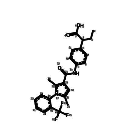 CCC(C(=O)O)c1ccc(NC(=O)c2cc(C)n(-c3ccccc3C(F)(F)F)c2C)cc1